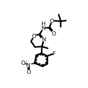 CC(C)(C)OC(=O)NC1=NC(C)(c2cc([N+](=O)[O-])ccc2F)CCO1